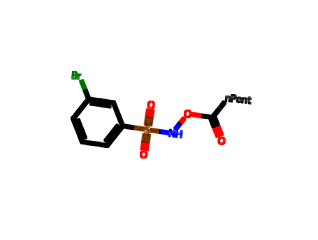 CCCCCC(=O)ONS(=O)(=O)c1cccc(Br)c1